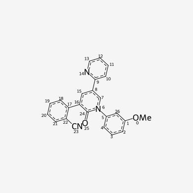 COc1cccc(-n2cc(-c3ccccn3)cc(-c3ccccc3C#N)c2=O)c1